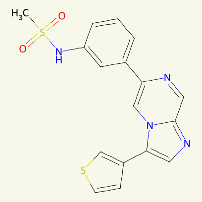 CS(=O)(=O)Nc1cccc(-c2cn3c(-c4ccsc4)cnc3cn2)c1